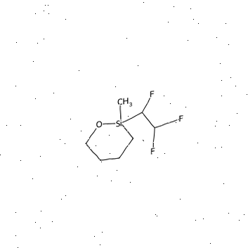 C[Si]1(C(F)C(F)F)CCCCO1